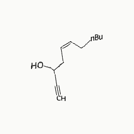 C#CC(O)C/C=C\CCCCC